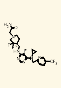 NC(=O)CN1CC[C@@H](CNc2ncnc(N(Cc3ccc(C(F)(F)F)cn3)C3CC3)c2F)C(F)(F)C1